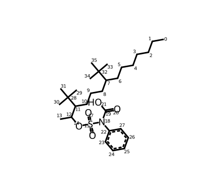 CCCCCCCC(CCCC(C(C)OS(=O)(=O)N(C(=O)O)c1ccccc1)C(C)(C)C)C(C)(C)C